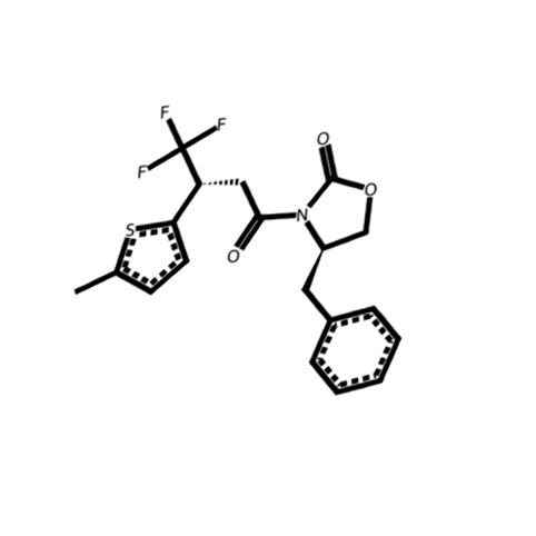 Cc1ccc([C@@H](CC(=O)N2C(=O)OC[C@H]2Cc2ccccc2)C(F)(F)F)s1